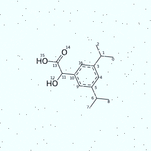 CC(C)c1cc(C(C)C)cc(C(O)C(=O)O)c1